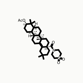 CC(=O)O[C@H]1CC[C@]2(C)[C@H]3CCC4=C5CC(C)(C)CC[C@]5(C(=O)N5CCS(=O)(=O)CC5)CC[C@@]4(C)[C@]3(C)CC[C@H]2C1(C)C